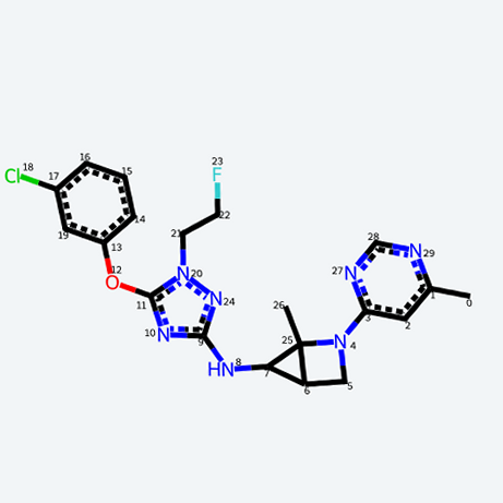 Cc1cc(N2CC3C(Nc4nc(Oc5cccc(Cl)c5)n(CCF)n4)C32C)ncn1